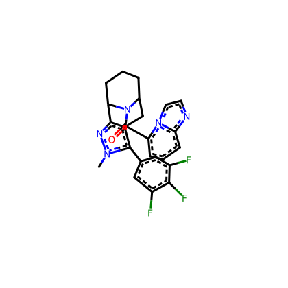 Cn1nc2c(c1-c1cc(F)c(F)c(F)c1)CC1CCCC2N1C(=O)c1cccc2nccn12